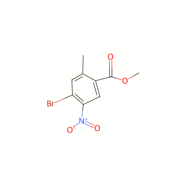 COC(=O)c1cc([N+](=O)[O-])c(Br)cc1C